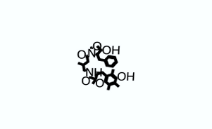 Cc1c(C)c2c(c(C)c1O)CCC(C)(C(=O)NCC(C)CC(=O)N1COC(O)C1Cc1ccccc1)O2